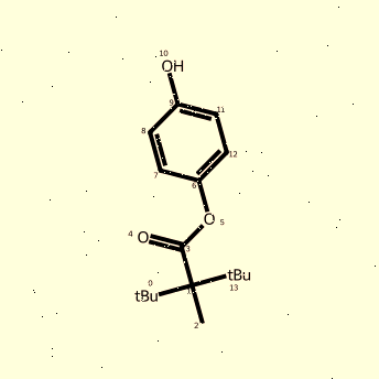 CC(C)(C)C(C)(C(=O)Oc1ccc(O)cc1)C(C)(C)C